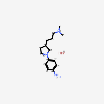 Br.CN(C)CCCC1CCN(c2ccc(N)cc2)C1